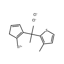 Cc1ccsc1C(C)(C)C1=[C]([Ti+2])CC=C1.[Cl-].[Cl-]